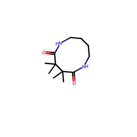 CC1(C)C(=O)NCCCCNC(=O)C1(C)C